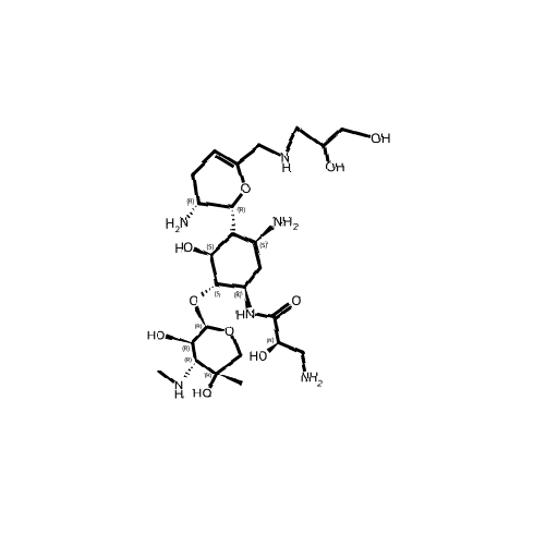 CN[C@@H]1[C@@H](O)[C@@H](O[C@H]2[C@H](NC(=O)[C@H](O)CN)C[C@H](N)C([C@H]3OC(CNCC(O)CO)=CC[C@H]3N)[C@@H]2O)OC[C@]1(C)O